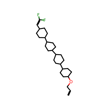 C=CCOC1CCC(C2CCC(C3CCC(C4CCC(C=C(F)F)CC4)CC3)CC2)CC1